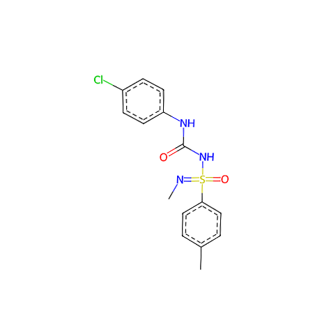 CN=S(=O)(NC(=O)Nc1ccc(Cl)cc1)c1ccc(C)cc1